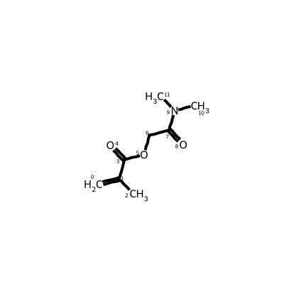 C=C(C)C(=O)OCC(=O)N(C)C